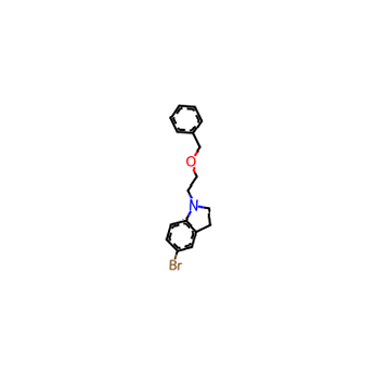 Brc1ccc2c(c1)CCN2CCOCc1ccccc1